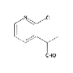 CC(C=O)c1cccnc1Cl